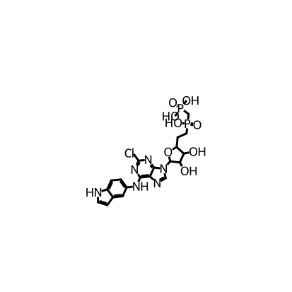 O=P(O)(O)CP(=O)(O)CCC1OC(n2cnc3c(Nc4ccc5[nH]ccc5c4)nc(Cl)nc32)C(O)C1O